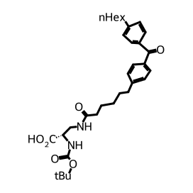 CCCCCCc1ccc(C(=O)c2ccc(CCCCCC(=O)NC[C@H](NC(=O)OC(C)(C)C)C(=O)O)cc2)cc1